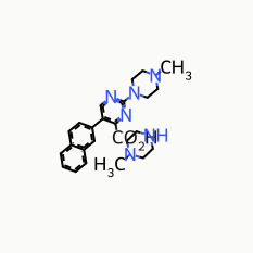 CN1CCN(c2ncc(-c3ccc4ccccc4c3)c(C(=O)O)n2)CC1.CN1CCNCC1